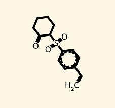 C=Cc1ccc(S(=O)(=O)C2CCCCC2=O)cc1